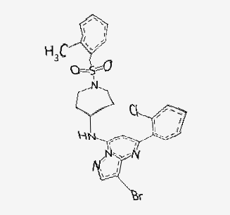 Cc1ccccc1S(=O)(=O)N1CCC(Nc2cc(-c3ccccc3Cl)nc3c(Br)cnn23)CC1